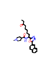 CCC(=O)CCCCCC(NC(=O)C1CCN(C)CC1)c1nnc(-c2ccc3ccccc3c2)o1